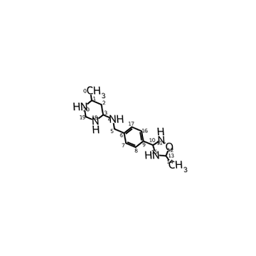 CC1CC(NCc2ccc(C3NOC(C)N3)cc2)NCN1